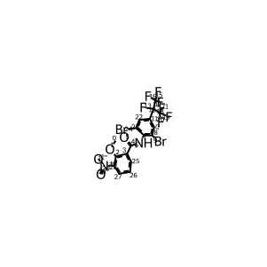 COc1c(C(=O)Nc2c(Br)cc(C(F)(C(F)(F)F)C(F)(F)F)cc2Br)cccc1[N+](=O)[O-]